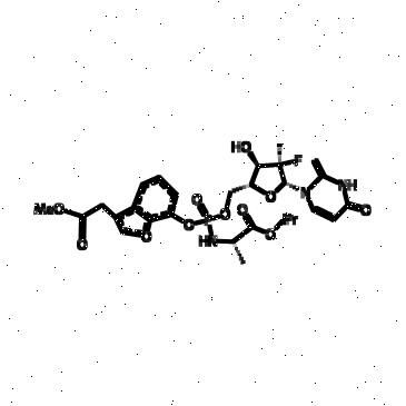 C=C1NC(=O)C=CN1[C@@H]1O[C@H](COP(=O)(N[C@@H](C)C(=O)OC(C)C)Oc2cccc3c(CC(=O)OC)coc23)[C@@H](O)[C@@]1(C)F